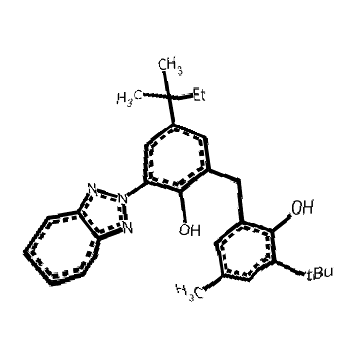 CCC(C)(C)c1cc(Cc2cc(C)cc(C(C)(C)C)c2O)c(O)c(-n2nc3ccccc3n2)c1